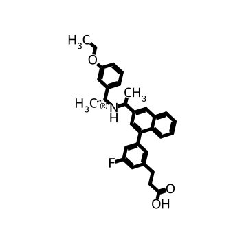 CCOc1cccc([C@@H](C)NC(C)c2cc(-c3cc(F)cc(CCC(=O)O)c3)c3ccccc3c2)c1